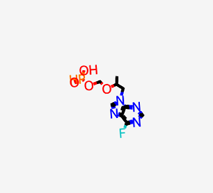 CC(Cn1cnc2c(F)ncnc21)OCO[PH](=O)O